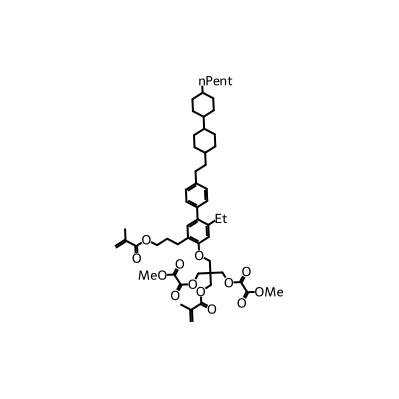 C=C(C)C(=O)OCCCc1cc(-c2ccc(CCC3CCC(C4CCC(CCCCC)CC4)CC3)cc2)c(CC)cc1OCC(COC(=O)C(=C)C)(COC(=O)C(=O)OC)COC(=O)C(=O)OC